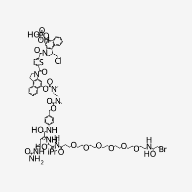 CC(C)[C@H](NC(=O)CCOCCOCCOCCOCCOCCOCCNC(O)CBr)C(O)N[C@@H](CCCNC(N)=O)C(O)Nc1ccc(COC(=O)N(C)CCN(C)C(=O)Oc2cc3c(c4ccccc24)CCN3C(=O)c2ccc(C(=O)N3CC(CCl)c4c3cc(OP(=O)(O)O)c3ccccc43)s2)cc1